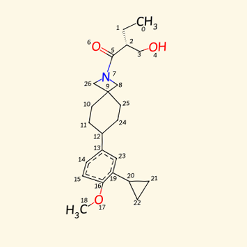 CC[C@H](CO)C(=O)N1CC2(CCC(c3ccc(OC)c(C4CC4)c3)CC2)C1